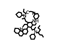 CCCC(CCC)N(C(C)CC1C(CC)C2NC3CCC[C@@H](CCCC(CC)N(C4CCCCC4)C(C)CC2C(CC)C1C1CCC2CCC4CCCC[C@@H]4C2C1)C3)C1CCCCC1